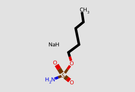 CCCCCOS(N)(=O)=O.[NaH]